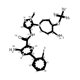 [2H]C([2H])([2H])OC1CCN(c2c(NC(=O)c3nc(-c4ccccc4F)sc3N)cnn2C)CCC1N